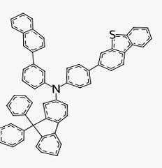 c1ccc(C2(c3ccccc3)c3ccccc3-c3ccc(N(c4ccc(-c5ccc6c(c5)sc5ccccc56)cc4)c4cccc(-c5ccc6ccccc6c5)c4)cc32)cc1